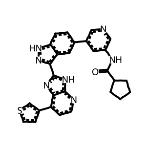 O=C(Nc1cncc(-c2ccc3[nH]nc(-c4nc5c(-c6ccsc6)ccnc5[nH]4)c3c2)c1)C1CCCC1